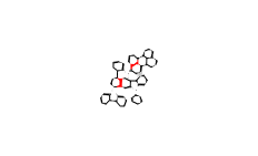 c1ccc(-c2cccc3cccc(-c4ccc(N(c5ccccc5-c5ccc(-n6c7ccccc7c7ccccc76)cc5)c5cccc6c5c5ccccc5n6-c5ccccc5)cc4)c23)cc1